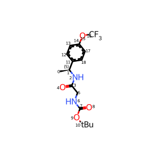 C[C@H](NC(=O)CNC(=O)OC(C)(C)C)c1ccc(OC(F)(F)F)cc1